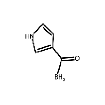 BC(=O)c1cc[nH]c1